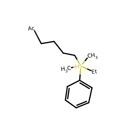 CC[SH](C)(C)(CCCCC(C)=O)c1ccccc1